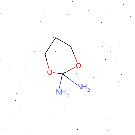 NC1(N)OCCCO1